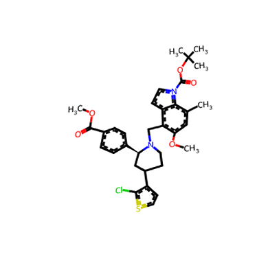 COC(=O)c1ccc([C@@H]2CC(c3ccsc3Cl)CCN2Cc2c(OC)cc(C)c3c2ccn3C(=O)OC(C)(C)C)cc1